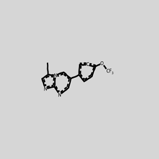 Cc1cnc2ncc(-c3ccc(OC(F)(F)F)cc3)cn12